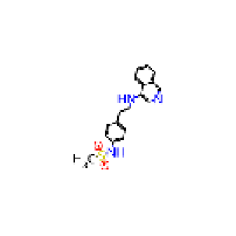 CS(=O)(=O)Nc1ccc(CCNc2cncc3ccccc23)cc1